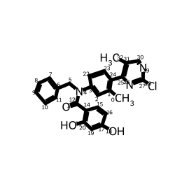 Cc1cc(N(Cc2ccccc2)C(=O)c2ccc(O)cc2O)ccc1-c1nc(Cl)ncc1C